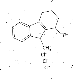 CC1C2=C(CCC[CH]2[Ti+3])c2ccccc21.[Cl-].[Cl-].[Cl-]